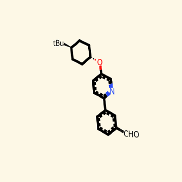 CC(C)(C)[C@H]1CC[C@H](Oc2ccc(-c3cccc(C=O)c3)nc2)CC1